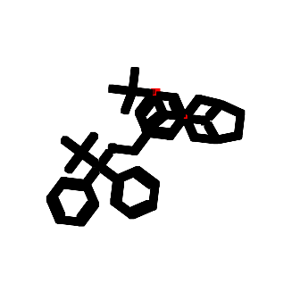 CC(C)(C)OC(=O)N1CC2CCC(C1)N2c1cccc(CO[Si](c2ccccc2)(c2ccccc2)C(C)(C)C)c1